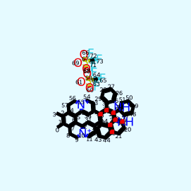 Cc1c(C)c2c(c3c1CC[n+]1ccc(/C=C/c4c(-c5ccccc5)[nH]c5ccccc45)cc1-3)-c1cc(/C=C/c3c(-c4ccccc4)[nH]c4ccccc34)cc[n+]1CC2.O=S(=O)([O-])C(F)(F)F.O=S(=O)([O-])C(F)(F)F